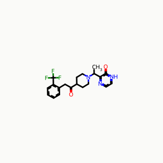 CC(c1ncc[nH]c1=O)N1CCC(C(=O)Cc2ccccc2C(F)(F)F)CC1